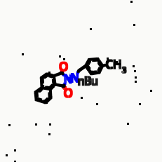 CCCCN(Cc1ccc(C)cc1)N1C(=O)c2ccc3ccccc3c2C1=O